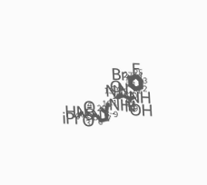 CC(C)NS(=O)(=O)N1CC[C@](C)(CNc2nonc2/C(=N/O)Nc2ccc(F)c(Br)c2)C1